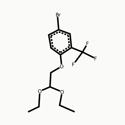 CCOC(COc1ccc(Br)cc1C(F)(F)F)OCC